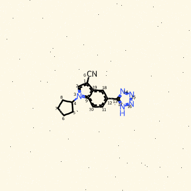 N#Cc1cn(C2CCCC2)c2ccc(-c3nnn[nH]3)cc12